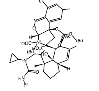 CCNC(=O)N(CC(C)[C@@]1(C)CCC[C@H]2C=C(C)[C@H](OC(C)=O)[C@H]([C@]3(C(=O)O)C[C@@]4(OC(=O)OC(C)(C)C)C5=CC(C)C=C(Cl)C5=NO[C@H]4[N+]3(C(=O)[O-])C(C)(C)C)[C@]21O)C1CC1